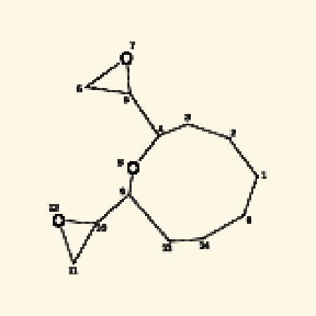 C1CCCC(C2CO2)OC(C2CO2)CC1